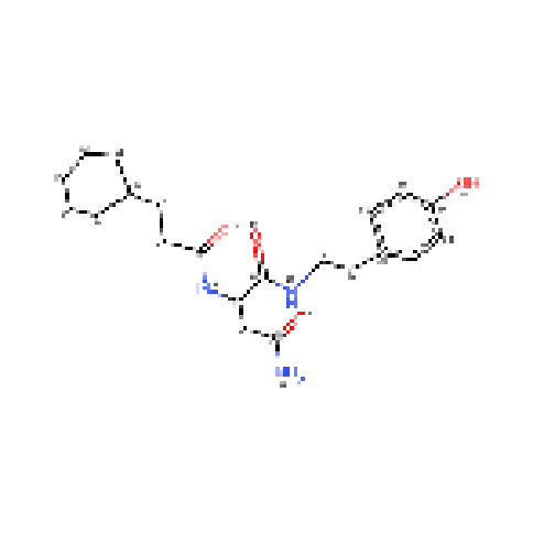 NC(=O)CC(NC(=O)CCC1CCCCC1)C(=O)NCCc1ccc(O)cc1